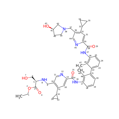 CCOC(=O)[C@@H](CO)NCc1cnc(C(=O)Nc2cccc(-c3cccc(NC(=O)c4cc(C5CC5)c(CN5CC[C@@H](O)C5)cn4)c3C)c2C)cc1C1CC1